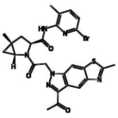 CC(=O)c1nn(CC(=O)N2[C@H](C(=O)Nc3nc(Br)ccc3C)C[C@@]3(C)C[C@@H]23)c2cc3sc(C)nc3cc12